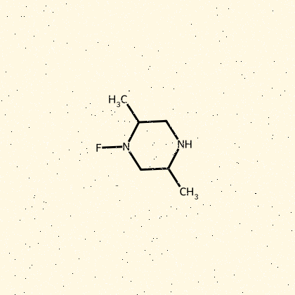 CC1CN(F)C(C)CN1